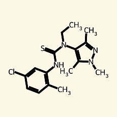 CCN(C(=S)Nc1cc(Cl)ccc1C)c1c(C)nn(C)c1C